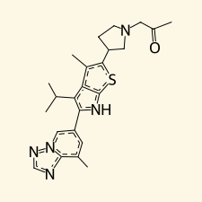 CC(=O)CN1CCC(c2sc3[nH]c(-c4cc(C)c5ncnn5c4)c(C(C)C)c3c2C)C1